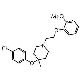 COc1ccccc1OCCN1CCC(C)(Oc2ccc(Cl)cc2)CC1